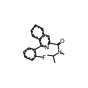 CC(C)N(C)C(=O)c1cc2ccccc2c(-c2ccccc2F)n1